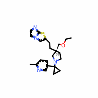 CCOC[C@@]1(CCc2cn3ccnc3s2)CCN(C2(c3ccc(C)nc3)CC2)C1